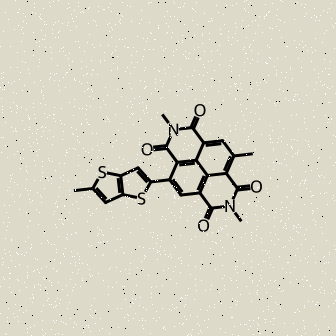 Cc1cc2sc(-c3cc4c5c(c(C)cc6c5c3C(=O)N(C)C6=O)C(=O)N(C)C4=O)cc2s1